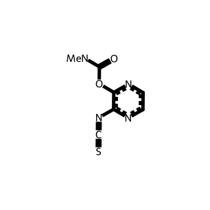 CNC(=O)Oc1nccnc1N=C=S